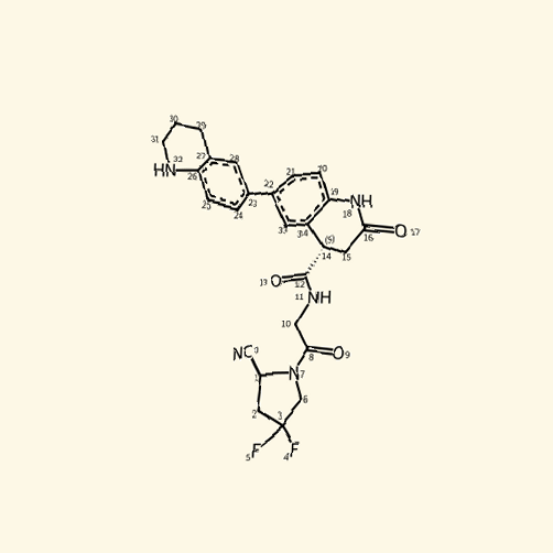 N#CC1CC(F)(F)CN1C(=O)CNC(=O)[C@H]1CC(=O)Nc2ccc(-c3ccc4c(c3)CCCN4)cc21